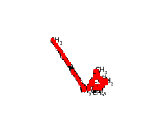 COCCOCCOCCOCCOCCOCCOCCOCCOCCOCCOCCOCCOCC1(c2nccc(COc3ccc4cc3C[C@H](C(=O)OC(C)(C)C)Oc3ncnc5sc(-c6ccc(F)cc6)c(c35)-c3c(C)c(Cl)c(c(Cl)c3C)O[C@H](CN3CCN(C)CC3)CO4)n2)CCC1